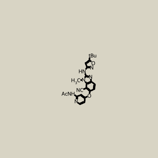 CC(=O)Nc1cc(Oc2ccc3nc(Nc4cc(C(C)(C)C)on4)n(C)c3c2C#N)ccn1